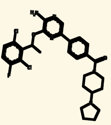 CC(Oc1nc(-c2ccc(C(=O)N3CCC(N4CCCC4)CC3)cc2)cnc1N)c1c(Cl)ccc(F)c1Cl